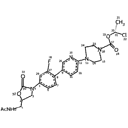 CC(=O)NCC1CN(c2ccc(-c3ccc(N4CCN(C(=O)O[C@H](C)Cl)CC4)nc3)c(F)c2)C(=O)O1